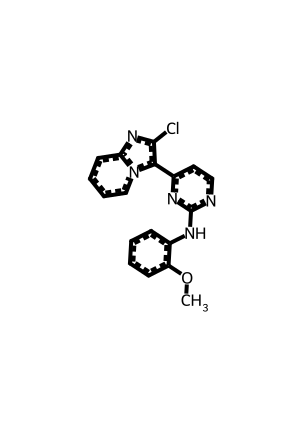 COc1ccccc1Nc1nccc(-c2c(Cl)nc3ccccn23)n1